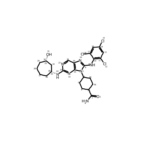 NC(=O)C1CCC(n2c(Nc3c(Cl)cc(Cl)cc3Cl)nc3cnc(N[C@@H]4CCCC[C@H](O)C4)nc32)CC1